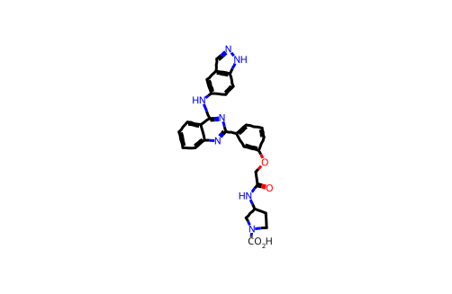 O=C(COc1cccc(-c2nc(Nc3ccc4[nH]ncc4c3)c3ccccc3n2)c1)NC1CCN(C(=O)O)C1